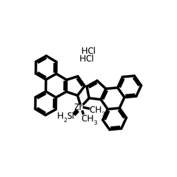 Cl.Cl.[CH3][Zr]([CH3])(=[SiH2])([CH]1C=Cc2c1c1ccccc1c1ccccc21)[CH]1C=Cc2c1c1ccccc1c1ccccc21